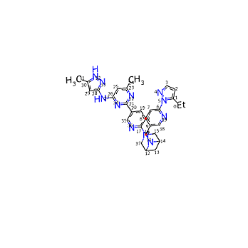 CCc1ccnn1-c1ccc(CN2C3CC2CN(c2ccc(-c4nc(C)cc(Nc5cc(C)[nH]n5)n4)cn2)C3)cn1